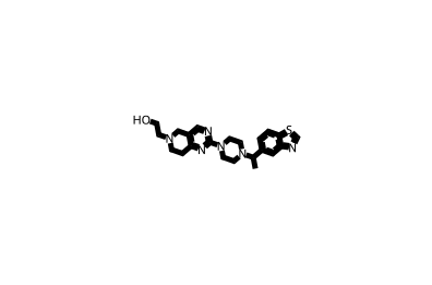 CC(c1ccc2scnc2c1)N1CCN(c2ncc3c(n2)CCN(CCO)C3)CC1